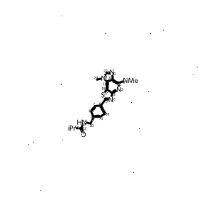 CNc1nc2nc(-c3ccc(CNC(=O)C(C)C)cc3)sc2c2c1ncn2C